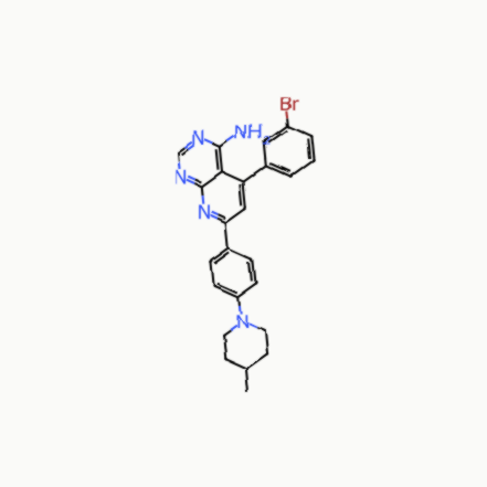 CC1CCN(c2ccc(-c3cc(-c4cccc(Br)c4)c4c(N)ncnc4n3)cc2)CC1